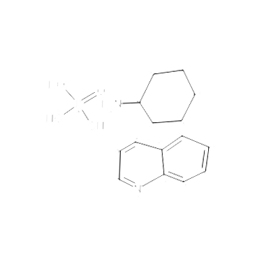 NC1CCCCC1.O=P(O)(O)O.c1ccc2ncccc2c1